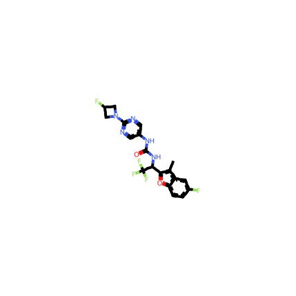 Cc1c(C(NC(=O)Nc2cnc(N3CC(F)C3)nc2)C(F)(F)F)oc2ccc(F)cc12